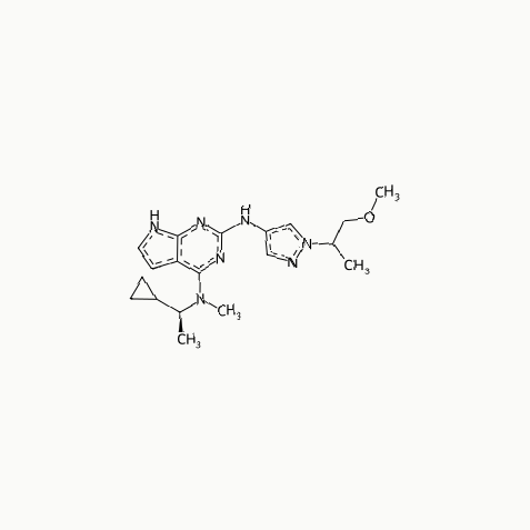 COCC(C)n1cc(Nc2nc(N(C)[C@@H](C)C3CC3)c3cc[nH]c3n2)cn1